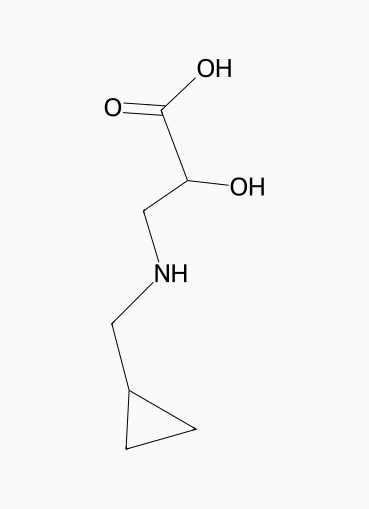 O=C(O)C(O)CNCC1CC1